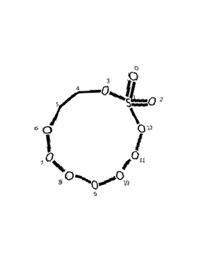 O=S1(=O)OCCOOOOOOO1